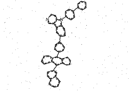 c1ccc(-c2ccc(-n3c4ccncc4c4cc(-c5ccc(-c6c7ccccc7c(-c7ccc8ccccc8c7)c7ccccc67)cc5)ccc43)cc2)cc1